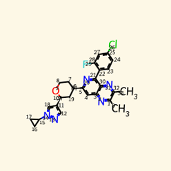 Cc1nc2cc([C@@H]3CCO[C@H](c4cnn(C5CC5)c4)C3)nc(-c3ccc(Cl)cc3F)c2nc1C